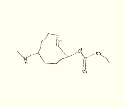 CNC1CC/C=C/C(OC(=O)OC)CC1